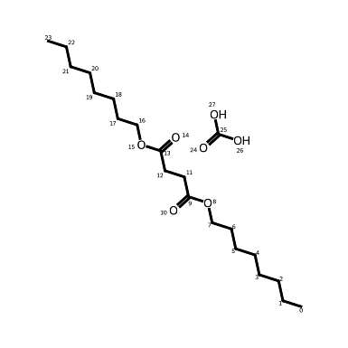 CCCCCCCCOC(=O)CCC(=O)OCCCCCCCC.O=C(O)O